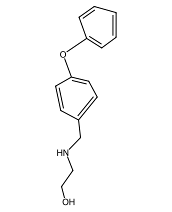 OCCNCc1ccc(Oc2ccccc2)cc1